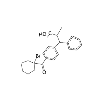 CC(C(=O)O)C(c1ccccc1)c1ccc(C(=O)C2(Br)CCCCC2)cc1